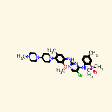 COc1cc(N2CCC(N3CCN(C)CC3)CC2)c(C)cc1Nc1ncc(Br)c(Nc2ccc(C)cc2P(C)(C)=O)n1